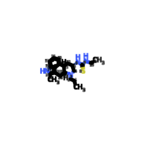 CCCN1C[C@@H](NC(=S)NCC)C[C@@H]2c3cccc4[nH]c(C)c(c34)C[C@H]21